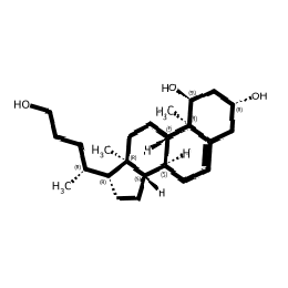 C[C@H](CCCO)[C@H]1CC[C@H]2[C@@H]3CC=C4C[C@@H](O)C[C@H](O)[C@]4(C)[C@H]3CC[C@]12C